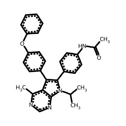 CC(=O)Nc1ccc(-c2c(-c3ccc(Oc4ccccc4)cc3)c3c(C)ncnc3n2C(C)C)cc1